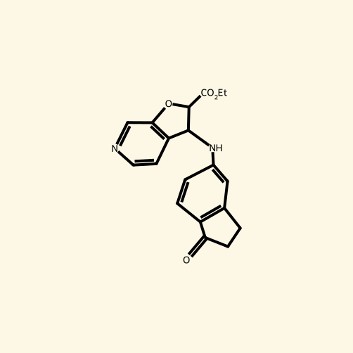 CCOC(=O)C1Oc2cnccc2C1Nc1ccc2c(c1)CCC2=O